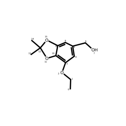 CCOc1cc(CO)cc2c1OC(C)(C)O2